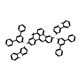 CC1(C)c2cc(N(c3cc(-c4ccccc4)cc(-c4ccccc4)c3)c3ccc4oc5ccccc5c4c3)ccc2-c2cc3ccc(N(c4cc(-c5ccccc5)cc(-c5ccccc5)c4)c4ccc5oc6ccccc6c5c4)cc3c3cccc1c23